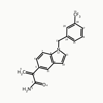 C=C(C(N)=O)c1ccc2c(ccn2Cc2cccc(C(F)(F)F)c2)c1